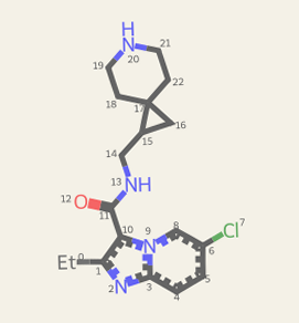 CCc1nc2ccc(Cl)cn2c1C(=O)NCC1CC12CCNCC2